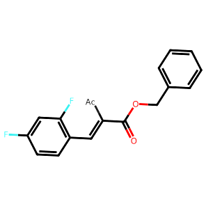 CC(=O)C(=Cc1ccc(F)cc1F)C(=O)OCc1ccccc1